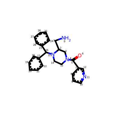 NCC1CN(C(=O)c2cccnc2)CCN1C(c1ccccc1)c1ccccc1